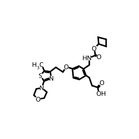 Cc1sc(N2CCOCC2)nc1CCOc1ccc(CCC(=O)O)c(CNC(=O)OC2CCC2)c1